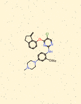 C=C1CCc2cccc(Oc3nc(Nc4ccc(N5CCN(C)CC5)cc4OC)ncc3Cl)c21